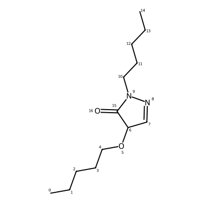 CCCCCOC1C=NN(CCCCC)C1=O